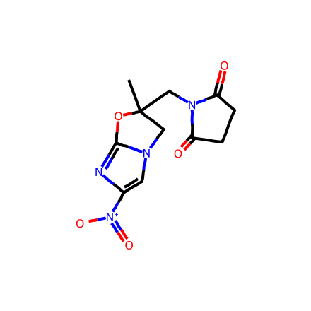 CC1(CN2C(=O)CCC2=O)Cn2cc([N+](=O)[O-])nc2O1